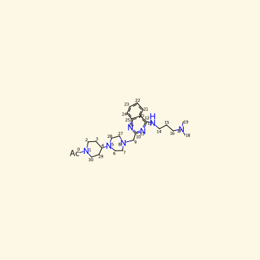 CC(=O)N1CCC(N2CCN(Cc3nc(NCCCN(C)C)c4ccccc4n3)CC2)CC1